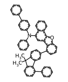 CC1(C)c2ccc(-c3cccc4oc5c6ccccc6c(N(c6ccccc6)c6ccc(-c7ccccc7)cc6)cc5c34)cc2-c2c(-c3ccccc3)cccc21